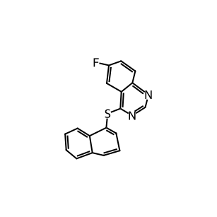 Fc1ccc2ncnc(Sc3cccc4ccccc34)c2c1